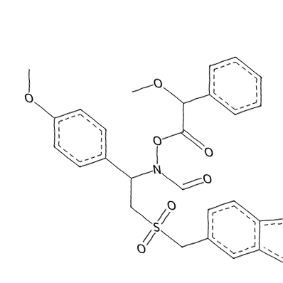 COc1ccc(C(CS(=O)(=O)Cc2ccc3occc3c2)N(C=O)OC(=O)C(OC)c2ccccc2)cc1